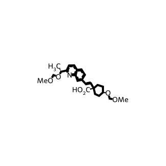 COCO[C@H](C)c1ccc2ccc(/C=C/[C@]3(C(=O)O)CC[C@@H](OCOC)CC3)cc2n1